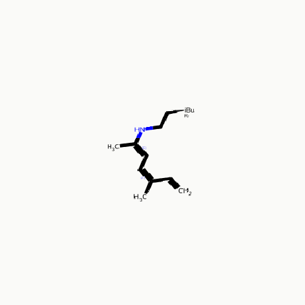 C=C/C(C)=C\C=C(/C)NCC[C@H](C)CC